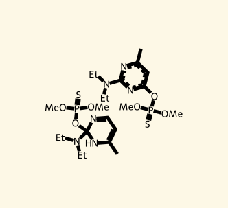 CCN(CC)C1(OP(=S)(OC)OC)N=CC=C(C)N1.CCN(CC)c1nc(C)cc(OP(=S)(OC)OC)n1